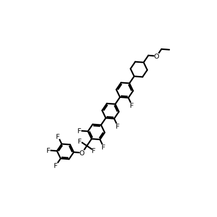 CCOCC1CCC(c2ccc(-c3ccc(-c4cc(F)c(C(F)(F)Oc5cc(F)c(F)c(F)c5)c(F)c4)c(F)c3)c(F)c2)CC1